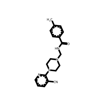 Cc1ccc(C(=O)NCN2CCN(c3ncccc3C#N)CC2)cc1